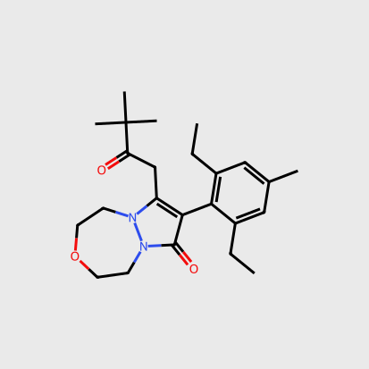 CCc1cc(C)cc(CC)c1-c1c(CC(=O)C(C)(C)C)n2n(c1=O)CCOCC2